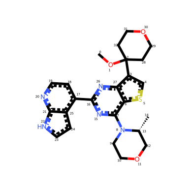 COC1(c2csc3c(N4CCOC[C@H]4C)nc(-c4ccnc5[nH]ccc45)nc23)CCOCC1